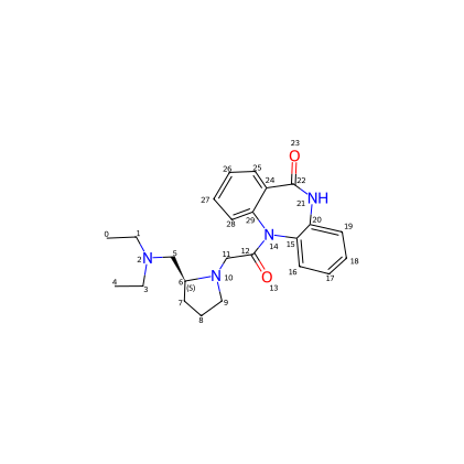 CCN(CC)C[C@@H]1CCCN1CC(=O)N1c2ccccc2NC(=O)c2ccccc21